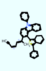 C#C/C=C\C=C(/C)c1ccc2c(c1-c1sc(-c3ccccc3)c3c1CCC=C3)c1ccccc1n2-c1ccccc1